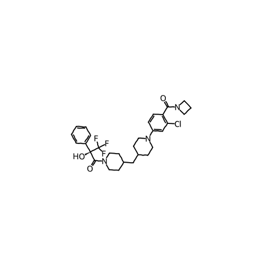 O=C(c1ccc(N2CCC(CC3CCN(C(=O)[C@](O)(c4ccccc4)C(F)(F)F)CC3)CC2)cc1Cl)N1CCC1